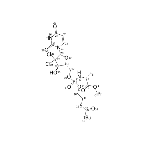 CC(C)OC(=O)[C@@H](C)N[P@](=O)(OCCSC(=O)C(C)(C)C)OC[C@H]1O[C@@H](n2ccc(=O)[nH]c2=O)C(Cl)(Cl)[C@@H]1O